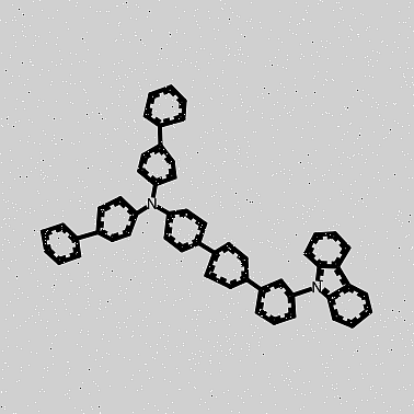 c1ccc(-c2ccc(N(c3ccc(-c4ccccc4)cc3)c3ccc(-c4ccc(-c5cccc(-n6c7ccccc7c7ccccc76)c5)cc4)cc3)cc2)cc1